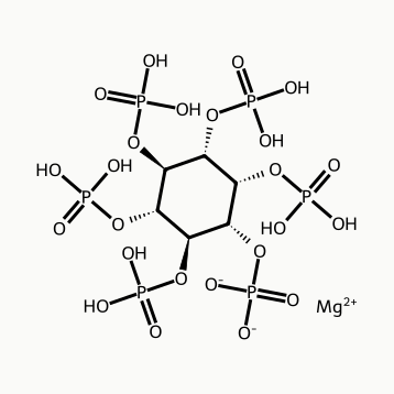 O=P([O-])([O-])O[C@@H]1[C@@H](OP(=O)(O)O)[C@H](OP(=O)(O)O)[C@@H](OP(=O)(O)O)[C@H](OP(=O)(O)O)[C@@H]1OP(=O)(O)O.[Mg+2]